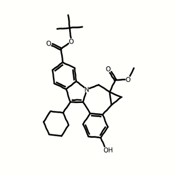 COC(=O)C12CC1c1cc(O)ccc1-c1c(C3CCCCC3)c3ccc(C(=O)OC(C)(C)C)cc3n1C2